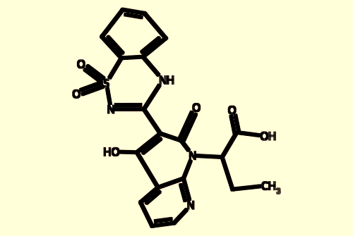 CCC(C(=O)O)n1c(=O)c(C2=NS(=O)(=O)c3ccccc3N2)c(O)c2cccnc21